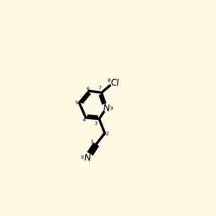 N#C[CH]c1cccc(Cl)n1